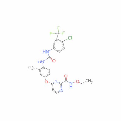 CCONC(=O)c1nccc(Oc2ccc(NC(=O)Nc3ccc(Cl)c(C(F)(F)F)c3)c(C)c2)n1